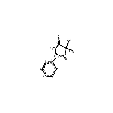 C=C1OB(c2ccncc2)OC1(C)C